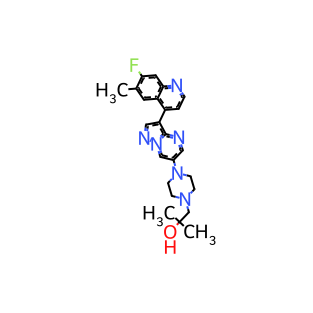 Cc1cc2c(-c3cnn4cc(N5CCN(CC(C)(C)O)CC5)cnc34)ccnc2cc1F